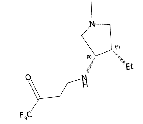 CC[C@H]1CN(C)C[C@H]1NCCC(=O)C(F)(F)F